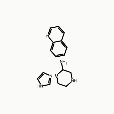 NC1CNCCO1.c1c[nH]cn1.c1ccc2ncccc2c1